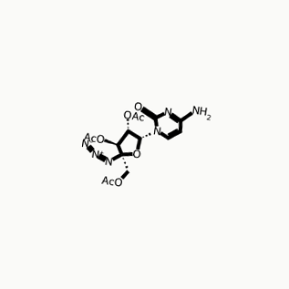 CC(=O)OC[C@@]1(N=[N+]=[N-])O[C@@H](n2ccc(N)nc2=O)[C@@H](OC(C)=O)[C@@H]1OC(C)=O